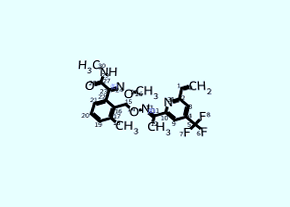 C=Cc1cc(C(F)(F)F)cc(/C(C)=N/OCc2c(C)cccc2/C(=N\OC)C(=O)NC)n1